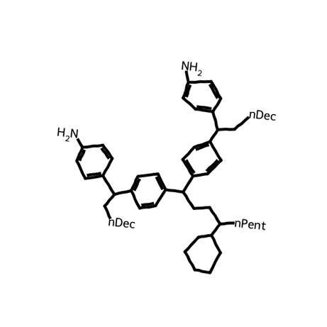 CCCCCCCCCCCC(c1ccc(N)cc1)c1ccc(C(CCC(CCCCC)C2CCCCC2)c2ccc(C(CCCCCCCCCCC)c3ccc(N)cc3)cc2)cc1